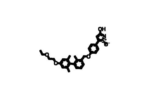 CCOCCOc1cc(C)c(-c2cccc(COc3ccc(-c4cc(O)n[s+]4[O-])cc3)c2C)c(C)c1